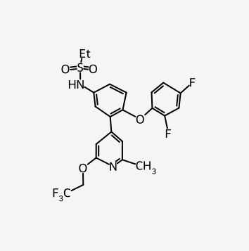 CCS(=O)(=O)Nc1ccc(Oc2ccc(F)cc2F)c(-c2cc(C)nc(OCC(F)(F)F)c2)c1